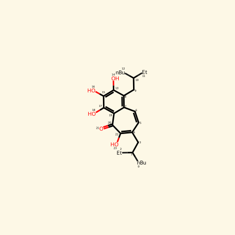 CCCCC(CC)Cc1ccc2c(CC(CC)CCCC)c(O)c(O)c(O)c2c(=O)c1O